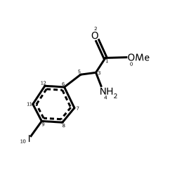 COC(=O)C(N)Cc1ccc(I)cc1